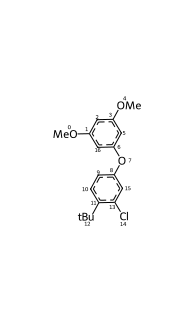 COc1cc(OC)cc(Oc2ccc(C(C)(C)C)c(Cl)c2)c1